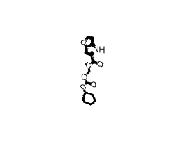 O=C(OCOC(=O)c1cc2occc2[nH]1)OC1CCCCC1